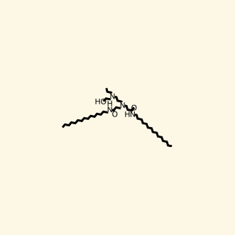 CCCCCCCCCCCCCCCNC(=O)CCN(CCCN(CCC)CCO)CCC(=O)NCCCCCCCCCCCCCCC